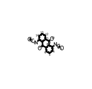 O=C=Nc1cccc2c1C(=O)c1cccc(N=C=O)c1C2=O